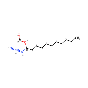 CCCCCCCCCCC(N=[N+]=[N-])OC=O